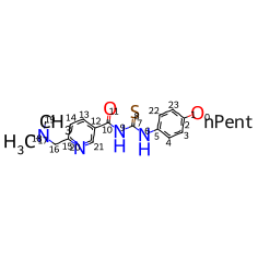 CCCCCOc1ccc(NC(=S)NC(=O)c2ccc(CN(C)C)nc2)cc1